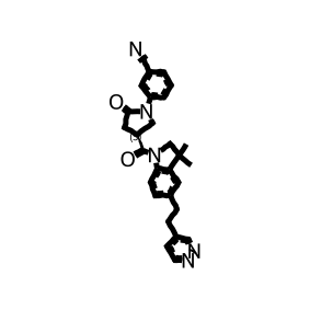 CC1(C)CN(C(=O)[C@H]2CC(=O)N(c3cccc(C#N)c3)C2)c2ccc(CCc3ccnnc3)cc21